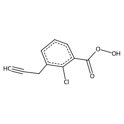 C#CCc1cccc(C(=O)OO)c1Cl